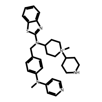 CN(c1ccncc1)c1ccc(CN(c2nc3ccccc3s2)C2CC[N+](C)(C3CCNCC3)CC2)cc1